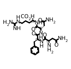 N=C(N)NCCC[C@H](NC(=O)[C@H](CC(N)=O)NC(=O)[C@H](Cc1ccccc1)NC(=O)[C@@H](N)CC(N)=O)C(=O)O